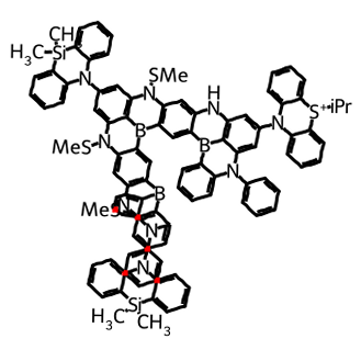 CSN1c2cc3c(cc2B2c4cc5c(cc4N(SC)c4cc(N6c7ccccc7[Si](C)(C)c7ccccc76)cc1c42)N(SC)c1cc(N2c4ccccc4[Si](C)(C)c4ccccc42)cc2c1B5c1ccccc1N2c1ccccc1)B1c2ccccc2N(c2ccccc2)c2cc(N4c5ccccc5[S+](C(C)C)c5ccccc54)cc(c21)N3